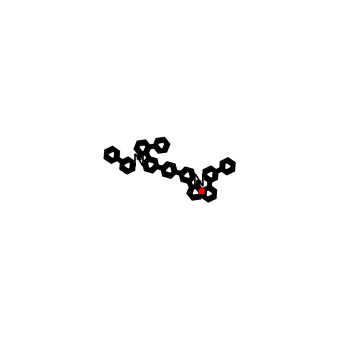 c1ccc(-c2cccc(-n3c4ccc(-c5ccc(-c6ccc7c(c6)c6ccccc6n7-c6ccc(-c7ccccc7)cc6-c6ccccc6)cc5)cc4c4c(-c5ccccc5)cccc43)c2)cc1